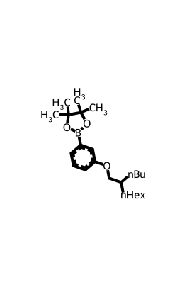 CCCCCCC(CCCC)COc1cccc(B2OC(C)(C)C(C)(C)O2)c1